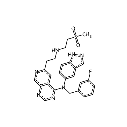 CS(=O)(=O)CCNCCc1cc2c(N(Cc3cccc(F)c3)c3ccc4[nH]ncc4c3)ncnc2cn1